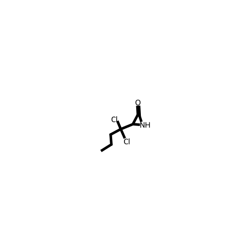 CCCC(Cl)(Cl)C1NC1=O